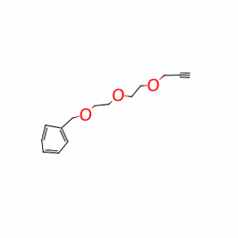 C#CCOCCOCCOCc1ccccc1